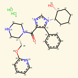 Cl.Cl.O=C(c1ncn([C@H]2CCCC[C@H]2O)c1-c1ccccc1)N1CCNC[C@H]1COc1ccccn1